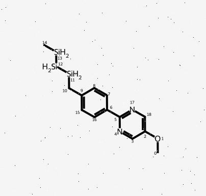 COc1cnc(-c2ccc(C[SiH2][SiH2][SiH2]C)cc2)nc1